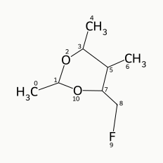 CC1OC(C)C(C)C(CF)O1